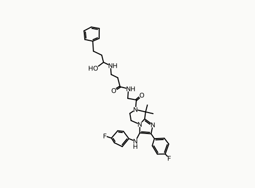 CC1(C)c2nc(-c3ccc(F)cc3)c(Nc3ccc(F)cc3)n2CCN1C(=O)CNC(=O)CCNC(O)CCc1ccccc1